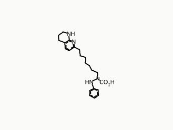 O=C(O)[C@H](CCCCCCCc1ccc2c(n1)NCCC2)Nc1ccccc1